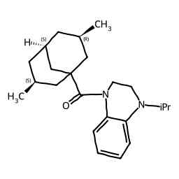 CC(C)N1CCN(C(=O)C23C[C@H](C)C[C@H](C[C@H](C)C2)C3)c2ccccc21